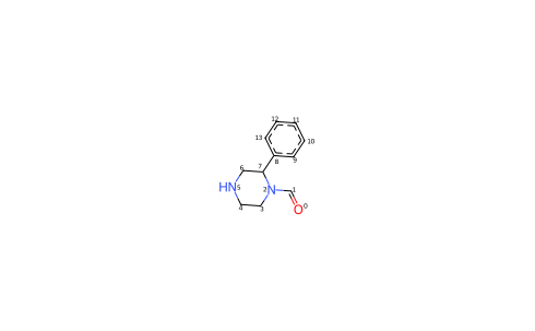 O=CN1CCNCC1c1ccccc1